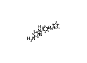 Nc1ccc2[nH]c(-c3ccc(OCc4ccccc4)cc3)nc2c1